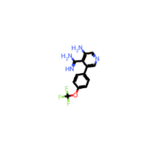 N=C(N)c1c(N)cncc1-c1ccc(OC(F)(F)F)cc1